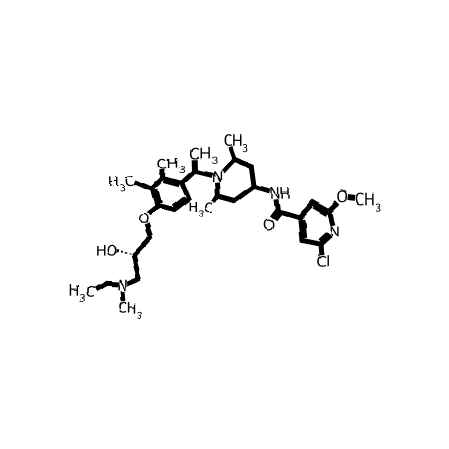 CCN(C)C[C@H](O)COc1ccc(C(C)N2C(C)CC(NC(=O)c3cc(Cl)nc(OC)c3)CC2C)c(C)c1C